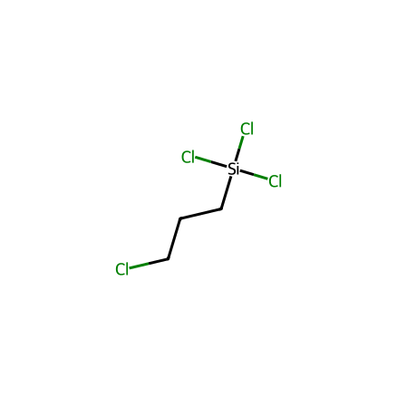 ClCCC[Si](Cl)(Cl)Cl